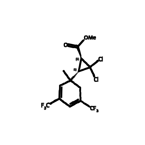 COC(=O)[C@@H]1[C@@H](C2(C)C=C(C(F)(F)F)C=C(C(F)(F)F)C2)C1(Cl)Cl